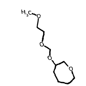 COCCOCOC1CCCCOC1